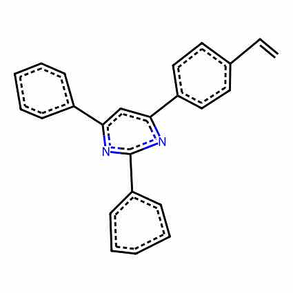 C=Cc1ccc(-c2cc(-c3ccccc3)nc(-c3ccccc3)n2)cc1